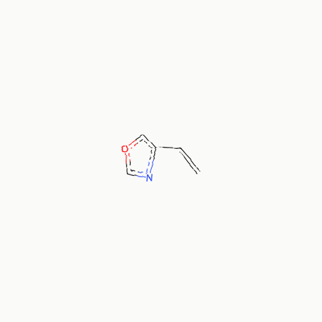 C=Cc1cocn1